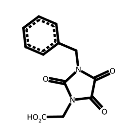 O=C(O)CN1C(=O)C(=O)N(Cc2ccccc2)C1=O